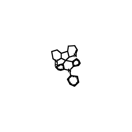 C1=NC2C(CC1)C1CCCNC1C21c2ccccc2N(c2ccccc2)c2ccccc21